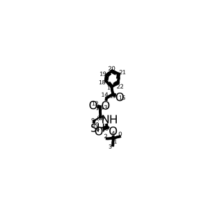 CC(C)(C)OC(=O)N[C@@H](CS)C(=O)OCC(=O)c1ccccc1